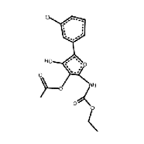 CCOC(=O)Nc1oc(-c2cccc(Cl)c2)c(O)c1OC(C)=O